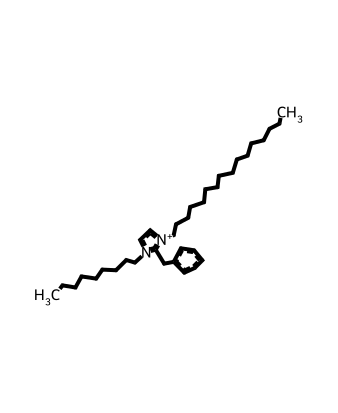 CCCCCCCCCCCCCCCC[n+]1ccn(CCCCCCCCC)c1Cc1ccccc1